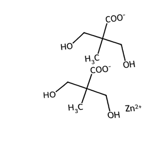 CC(CO)(CO)C(=O)[O-].CC(CO)(CO)C(=O)[O-].[Zn+2]